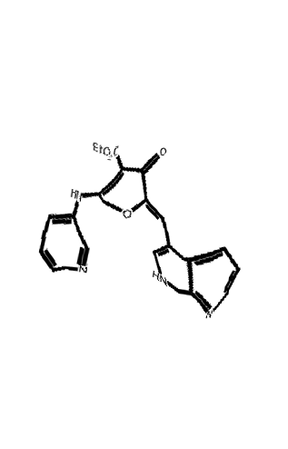 CCOC(=O)C1=C(Nc2cccnc2)OC(=Cc2c[nH]c3ncccc23)C1=O